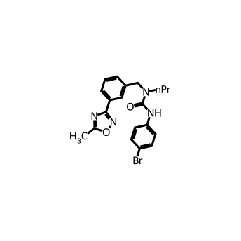 CCCN(Cc1cccc(-c2noc(C)n2)c1)C(=O)Nc1ccc(Br)cc1